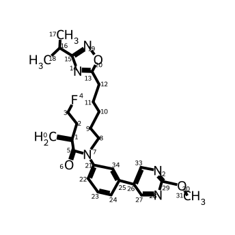 C=C(CCF)C(=O)N(CCCCCc1nc(C(C)C)no1)c1cccc(-c2cnc(OC)nc2)c1